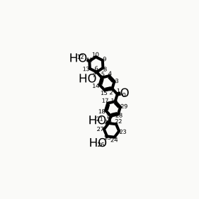 O=C(c1ccc(C2(O)CCCC(O)C2)cc1)c1ccc(C2(O)CCCC(O)C2)cc1